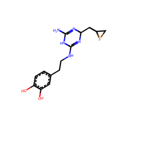 NC1=NC(CC2CS2)N=C(NCCc2ccc(O)c(O)c2)N1